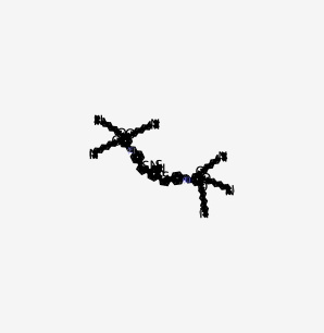 CN(C)CCCCCCOc1cc(/C=C/c2ccc(-c3ccc(-c4ccc(-c5ccc(-c6ccc(/C=C/c7cc(OCCCCCCN(C)C)c(OCCCCCCN(C)C)c(OCCCCCCN(C)C)c7)cc6)s5)c5nsnc45)s3)cc2)cc(OCCCCCCN(C)C)c1OCCCCCCN(C)C